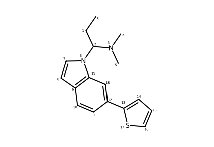 CCC(N(C)C)n1ccc2ccc(-c3cccs3)cc21